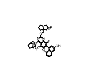 Cc1c(Cl)c(-c2cc(O)cc3cccc(F)c23)c(F)c2nc(OC[C@@]34CCCN3C[C@H](F)C4)nc(N3CC4CCC(C3)N4)c12